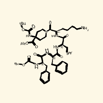 COC(=O)C1(NC(=O)OC(C)(C)C)CCN(C(=O)[C@@H](CCCCN)NC(=O)[C@@H](CC(C)C)NC(=O)[C@@H](Cc2ccccc2)NC(=O)[C@@H](Cc2ccccc2)NC(=O)OC(C)(C)C)CC1